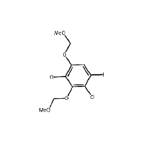 COCOc1cc(I)c(Cl)c(OCOC)c1Cl